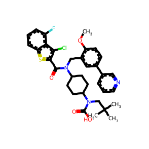 COc1ccc(-c2cccnc2)cc1CN(C(=O)c1sc2cccc(F)c2c1Cl)C1CCC(N(CC(C)(C)C)C(=O)O)CC1